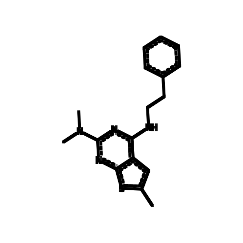 Cc1cc2c(NCCc3ccccc3)nc(N(C)C)nc2s1